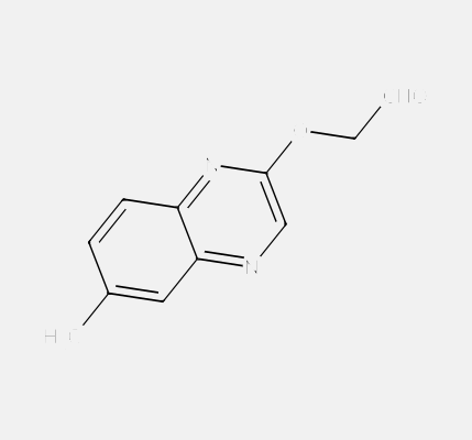 Cc1ccc2nc(OCC=O)cnc2c1